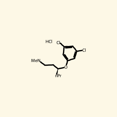 CCC[C@@H](CCNC)Oc1cc(Cl)cc(Cl)c1.Cl